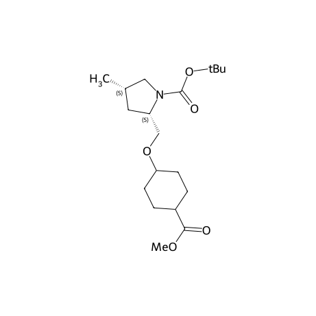 COC(=O)C1CCC(OC[C@@H]2C[C@H](C)CN2C(=O)OC(C)(C)C)CC1